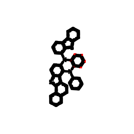 c1ccc(N(c2ccc3sc4c5ccccc5ccc4c3c2N(c2ccccc2)c2ccccc2)c2cccc3c2sc2ccccc23)cc1